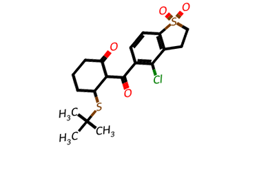 CC(C)(C)SC1CCCC(=O)C1C(=O)c1ccc2c(c1Cl)CCS2(=O)=O